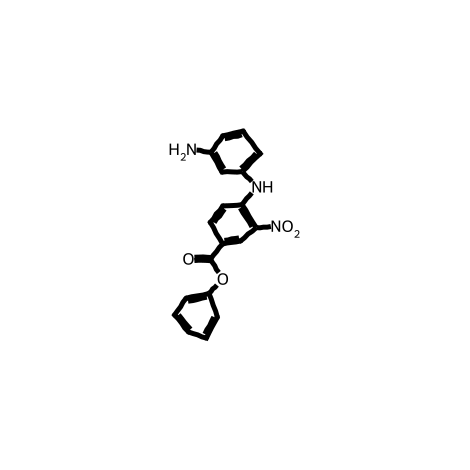 Nc1cccc(Nc2ccc(C(=O)Oc3ccccc3)cc2[N+](=O)[O-])c1